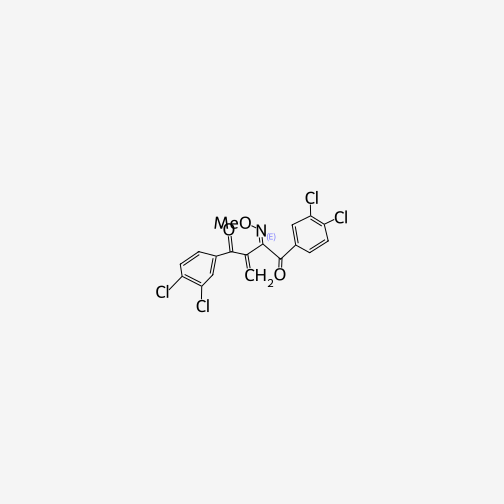 C=C(C(=O)c1ccc(Cl)c(Cl)c1)/C(=N\OC)C(=O)c1ccc(Cl)c(Cl)c1